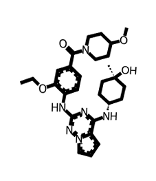 CCOc1cc(C(=O)N2CCC(OC)CC2)ccc1Nc1nc(N[C@H]2CC[C@](C)(O)CC2)c2cccn2n1